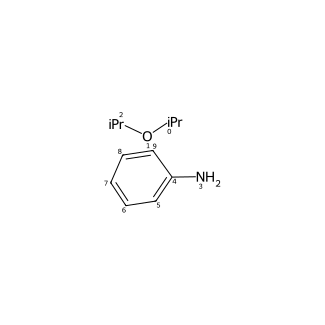 CC(C)OC(C)C.Nc1ccccc1